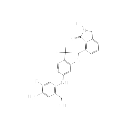 CCc1cc(C)c(F)cc1Nc1cc(OCc2cccc3c2C(=O)N(C)C3)c(C(F)(F)F)cn1